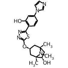 CN1[C@]2(C)C[C@H](Oc3nnc(-c4ccc(-n5ccnc5)cc4O)s3)C[C@@]1(C)[C@H](O)C2